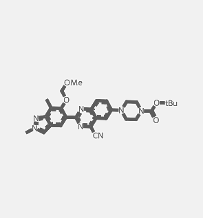 COCOc1c(-c2nc(C#N)c3cc(N4CCN(C(=O)OC(C)(C)C)CC4)ccc3n2)cc2cn(C)nc2c1C